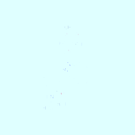 COC(=O)C(C)(C)OCc1cc(-c2cccc(C(=O)NC(C)C)c2)n(Cc2ccccc2Cl)n1